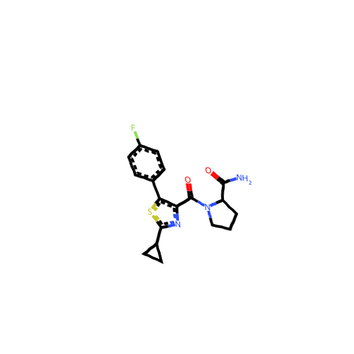 NC(=O)C1CCCN1C(=O)c1nc(C2CC2)sc1-c1ccc(F)cc1